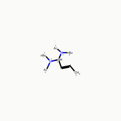 CC=C[SiH](N(CCCC)C(C)=O)N(CCCC)C(C)=O